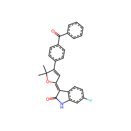 CC1(C)OC(=C2C(=O)Nc3cc(F)ccc32)C=C1c1ccc(C(=O)c2ccccc2)cc1